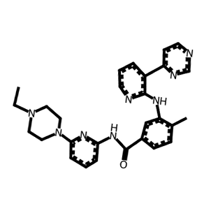 CCN1CCN(c2cccc(NC(=O)c3ccc(C)c(Nc4ncccc4-c4ccncn4)c3)n2)CC1